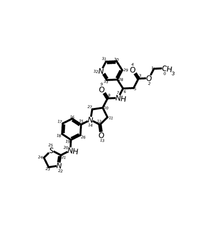 CCOC(=O)CC(NC(=O)C1CC(=O)N(c2cccc(NC3=NCCS3)c2)C1)c1cccnc1